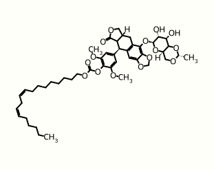 CCCCC/C=C\C/C=C\CCCCCCCCOC(=O)Oc1c(OC)cc([C@@H]2c3cc4c(c(O[C@@H]5O[C@@H]6CO[C@@H](C)OC6[C@H](O)[C@H]5O)c3C[C@H]3COC(=O)C32)OCO4)cc1OC